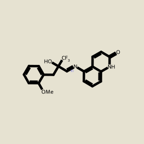 COc1ccccc1CC(O)(/C=N/c1cccc2[nH]c(=O)ccc12)C(F)(F)F